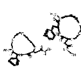 CN1CCCCCCCCC(CC(=O)NO)C(=O)NC(Cc2ccccc2)C1=O.CN1CCCCCCCCC(CC(=O)NO)C(=O)NC(c2ccccc2)C1=O